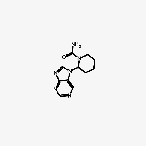 NC(=O)N1CCCCC1n1cnc2ncncc21